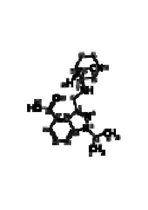 CC(C)n1nc(CN[C@H]2CN3CCC2CC3)c2c(C(=O)O)cccc21